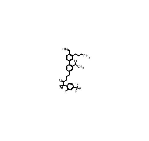 CCCCc1cc(-c2ccc(CCCC(=O)C3(c4ccc(C(F)(F)F)cc4F)CC3)cc2C(C)=O)ccc1C=N